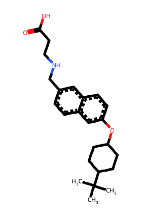 CC(C)(C)C1CCC(Oc2ccc3cc(CNCCC(=O)O)ccc3c2)CC1